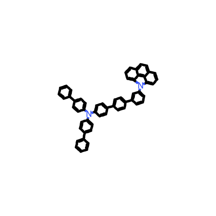 c1ccc(-c2ccc(N(c3ccc(-c4ccccc4)cc3)c3ccc(-c4ccc(-c5cccc(-n6c7cccc8ccc9cccc6c9c87)c5)cc4)cc3)cc2)cc1